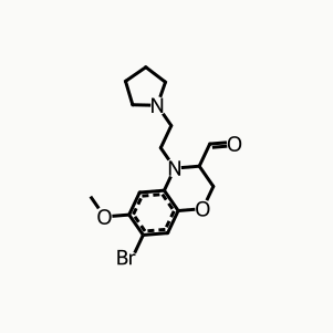 COc1cc2c(cc1Br)OCC(C=O)N2CCN1CCCC1